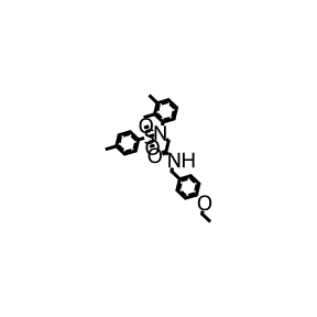 CCOc1ccc(CNC(=O)CN(c2cccc(C)c2C)S(=O)(=O)c2ccc(C)cc2)cc1